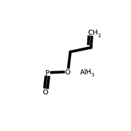 C=CCOP=O.[AlH3]